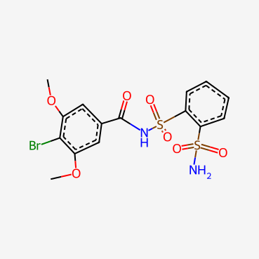 COc1cc(C(=O)NS(=O)(=O)c2ccccc2S(N)(=O)=O)cc(OC)c1Br